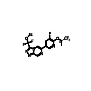 CCOC(F)(F)c1nnc2cnc(-c3cnc(O[C@@H](C)C(F)(F)F)c(F)c3)cn12